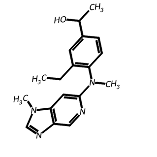 CCc1cc(C(C)O)ccc1N(C)c1cc2c(cn1)ncn2C